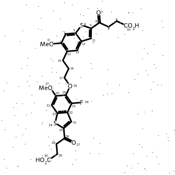 COc1cc2sc(C(=O)CCC(=O)O)cc2cc1CCCOc1c(OC)cc2sc(C(=O)CCC(=O)O)cc2c1F